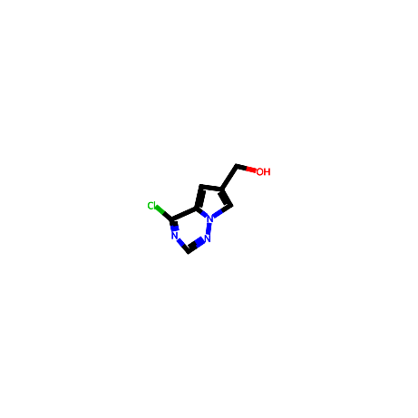 OCc1cc2c(Cl)ncnn2c1